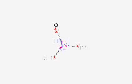 CNC(=O)CCCCCNC(=O)CN(CC(=O)NCCCCCC(=O)NC)CC(=O)NCCCCCC(=O)OC(=O)c1ccccc1